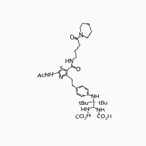 CC(=O)Nc1nc(CCc2ccc(NC(C(NC(=O)O)NC(=O)O)(C(C)(C)C)C(C)(C)C)cc2)c(C(=O)NCCCC(=O)N2CCCCC2)s1